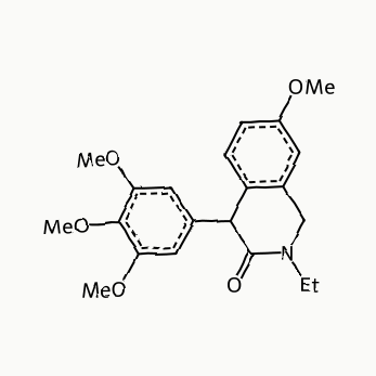 CCN1Cc2cc(OC)ccc2C(c2cc(OC)c(OC)c(OC)c2)C1=O